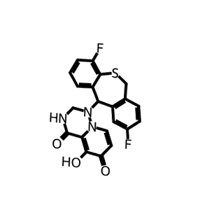 O=C1NCN(C2c3cc(F)ccc3CSc3c(F)cccc32)n2ccc(=O)c(O)c21